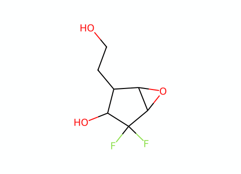 OCCC1C2OC2C(F)(F)C1O